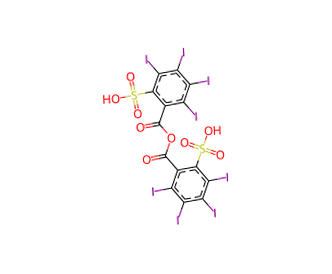 O=C(OC(=O)c1c(I)c(I)c(I)c(I)c1S(=O)(=O)O)c1c(I)c(I)c(I)c(I)c1S(=O)(=O)O